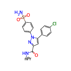 CCCNC(=O)c1cc(-c2ccc(Cl)cc2)n(-c2ccc(S(N)(=O)=O)cc2)n1